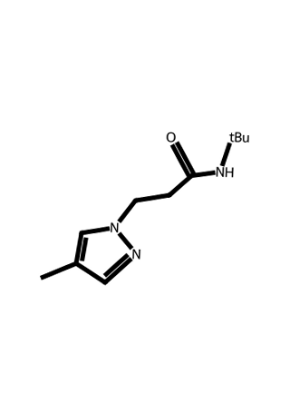 Cc1cnn(CCC(=O)NC(C)(C)C)c1